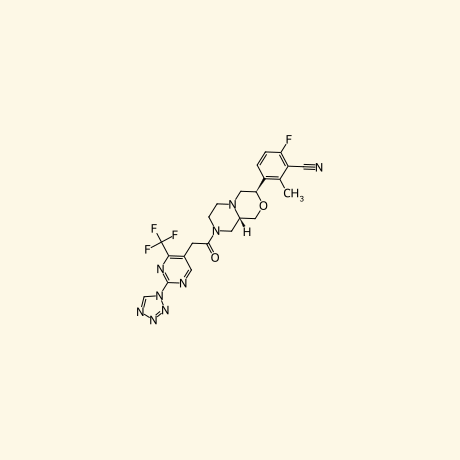 Cc1c([C@@H]2CN3CCN(C(=O)Cc4cnc(-n5cnnn5)nc4C(F)(F)F)C[C@H]3CO2)ccc(F)c1C#N